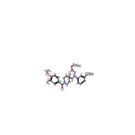 COCC1CN(c2cccc(OC)c2)CC2(CCN(C(=O)c3ccc(OC(C)C)c(C)c3)CC2)O1